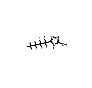 Oc1nnc(C(F)(F)C(F)(F)C(F)(F)C(F)(F)F)[nH]1